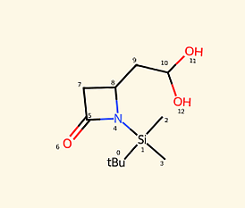 CC(C)(C)[Si](C)(C)N1C(=O)CC1CC(O)O